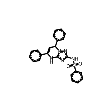 O=S(=O)(Nc1nc2n(n1)C(c1ccccc1)C=C(c1ccccc1)N2)c1ccccc1